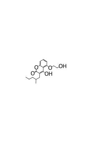 CCCC(C)Cc1c(O)c2c(OCCO)cccc2oc1=O